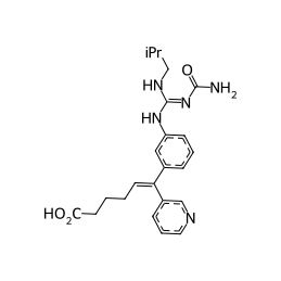 CC(C)CNC(=NC(N)=O)Nc1cccc(C(=CCCCC(=O)O)c2cccnc2)c1